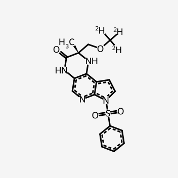 [2H]C([2H])([2H])OC[C@]1(C)Nc2c(cnc3c2ccn3S(=O)(=O)c2ccccc2)NC1=O